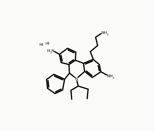 CCC(CC)N1c2cc(N)cc(CCCN)c2-c2ccc(N)cc2C1c1ccccc1.I.I